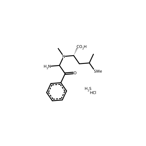 CSC(C)C[C@@H](C(=O)O)N(C)C(N)C(=O)c1ccccc1.Cl.S